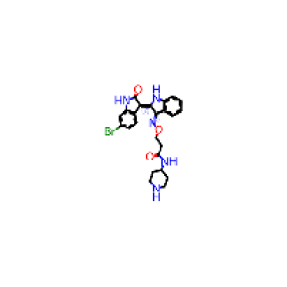 O=C(CCO/N=C1/C(=C2/C(=O)Nc3cc(Br)ccc32)Nc2ccccc21)NC1CCNCC1